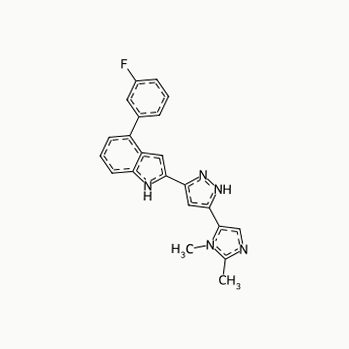 Cc1ncc(-c2cc(-c3cc4c(-c5cccc(F)c5)cccc4[nH]3)n[nH]2)n1C